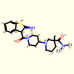 CCN(CC)C(=O)C1(C)CCCN(C2CCN(C(=O)C3C(=N)Sc4ccccc43)CC2)C1